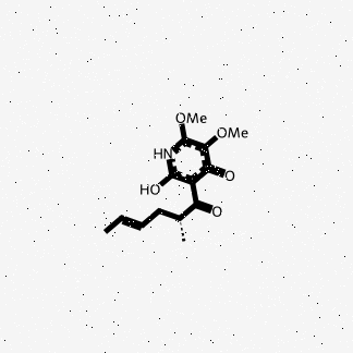 C/C=C/C[C@@H](C)C(=O)c1c(O)[nH]c(OC)c(OC)c1=O